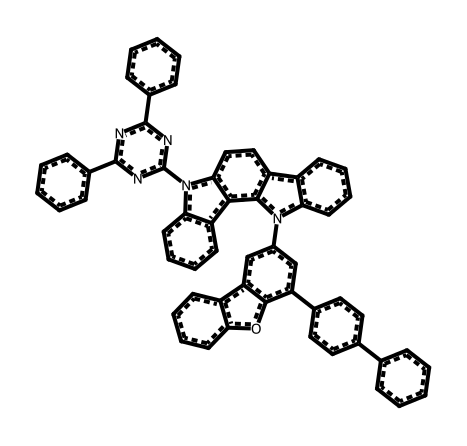 c1ccc(-c2ccc(-c3cc(-n4c5ccccc5c5ccc6c(c7ccccc7n6-c6nc(-c7ccccc7)nc(-c7ccccc7)n6)c54)cc4c3oc3ccccc34)cc2)cc1